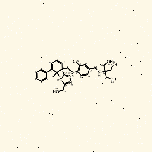 CC1(C)C(c2ccccc2)=CC=CC1(COc1ccc(CNC(CO)(CO)CO)cc1Cl)c1nnc(CO)o1